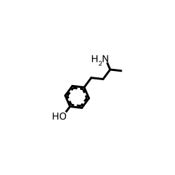 CC(N)CCc1ccc(O)cc1